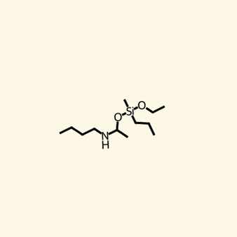 CCCCNC(C)O[Si](C)(CCC)OCC